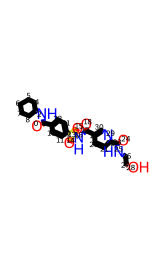 O=C(NC1CCCCC1)c1ccc(S(=O)(=O)NC(=O)c2ccc(C(=O)NCCO)nc2)cc1